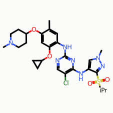 Cc1cc(Nc2ncc(Cl)c(Nc3cn(C)nc3S(=O)(=O)C(C)C)n2)c(OC2CC2)cc1OC1CCN(C)CC1